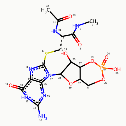 CNC(=O)[C@H](CSc1nc2c(=O)[nH]c(N)nc2n1C1OC2COP(=O)(O)OC2C1O)NC(C)=O